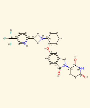 O=C1CC[C@@H](N2Cc3cc(O[C@H]4CCCC[C@@H]4N4CC(c5ccc(C(F)(F)F)cn5)C4)ccc3C2=O)C(=O)N1